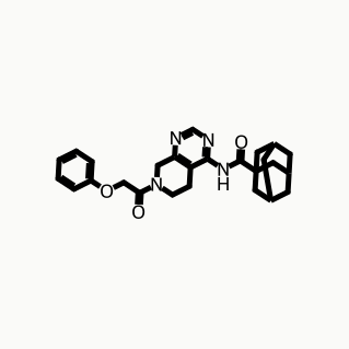 O=C(COc1ccccc1)N1CCc2c(ncnc2NC(=O)C23CC4CC(CC(C4)C2)C3)C1